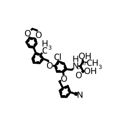 Cc1c(COc2cc(OCc3cccc(C#N)c3)c(CN[C@H](C(=O)O)[C@H](C)O)cc2Cl)cccc1-c1ccc2c(c1)OCCO2